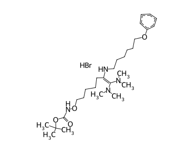 Br.CN(C)C(=C(CCCCCONC(=O)OC(C)(C)C)NCCCCCCOc1ccccc1)N(C)C